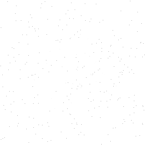 c1ccc2c(c1)sc1c(-c3nc(-n4c5cccc6ccc7cc8sc9ccccc9c8c4c7c65)nc4c3sc3ccccc34)cccc12